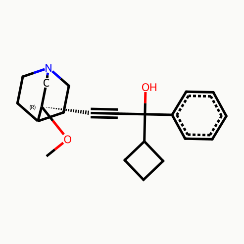 CO[C@]1(C#CC(O)(c2ccccc2)C2CCC2)CN2CCC1CC2